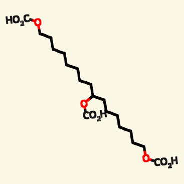 O=C(O)OCCCCCCCCC(CCCCCCCOC(=O)O)OC(=O)O